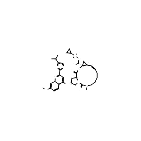 COC1=CC2N=C(c3nc(C(C)C)cs3)C=C(O[C@@H]3C[C@H]4C(=O)N[C@]5(C(O)NS(=O)(=O)C6CC6)C[C@H]5/C=C\CCCCN(C)C(=O)N4C3)C2C=C1